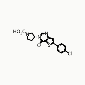 O=C(O)N1CC[C@@H](n2cnc3cc(-c4ccc(Cl)cc4)sc3c2=O)C1